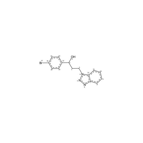 OC(CCn1nnc2ccccc21)c1ccc(Br)cc1